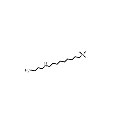 C[N+](C)(C)CCCCCCCCCNCCC[SiH3]